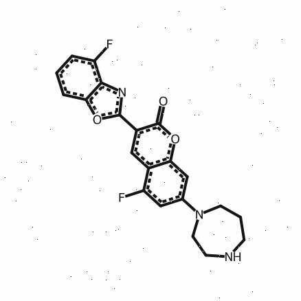 O=c1oc2cc(N3CCCNCC3)cc(F)c2cc1-c1nc2c(F)cccc2o1